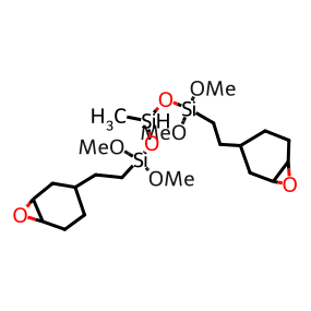 CO[Si](CCC1CCC2OC2C1)(OC)O[SiH](C)O[Si](CCC1CCC2OC2C1)(OC)OC